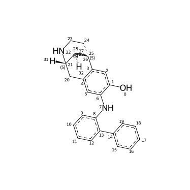 Oc1cc2c(cc1Nc1ccccc1-c1ccccc1)C[C@@H]1NCC[C@]23CCCC[C@H]13